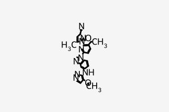 COc1ccnnc1Nc1ccc2c(c1)ncn2-c1ccc(C(C)=O)c(-n2nc(C#N)cc2C)n1